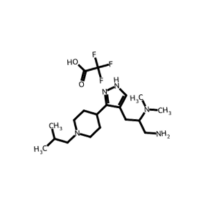 CC(C)CN1CCC(c2n[nH]cc2CC(CN)N(C)C)CC1.O=C(O)C(F)(F)F